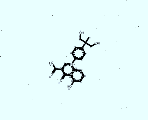 CC(CO)(CO)c1ccc(-n2cc(C(N)=O)c(=O)c3c(O)cccc32)cc1